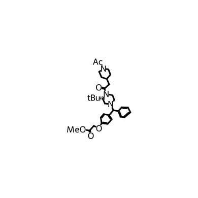 COC(=O)COc1ccc(C(c2ccccc2)N2CCN(C(=O)CC3CCN(C(C)=O)CC3)[C@@H](C(C)(C)C)C2)cc1